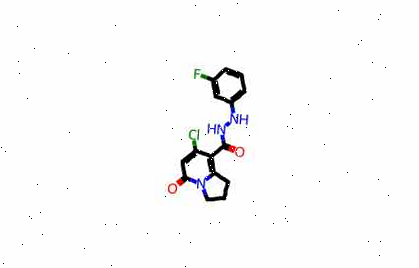 O=C(NNc1cccc(F)c1)c1c(Cl)cc(=O)n2c1CCC2